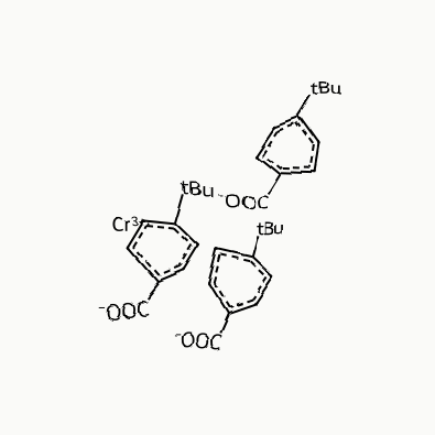 CC(C)(C)c1ccc(C(=O)[O-])cc1.CC(C)(C)c1ccc(C(=O)[O-])cc1.CC(C)(C)c1ccc(C(=O)[O-])cc1.[Cr+3]